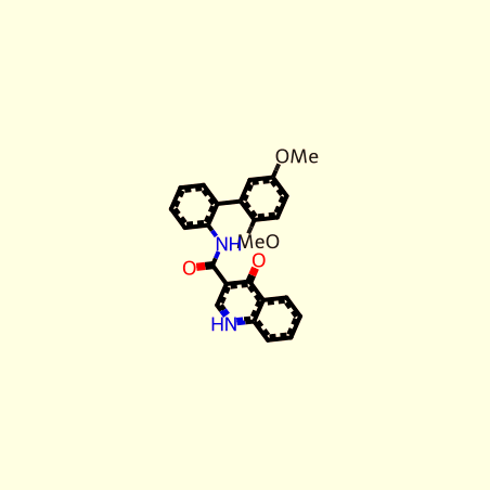 COc1ccc(OC)c(-c2ccccc2NC(=O)c2c[nH]c3ccccc3c2=O)c1